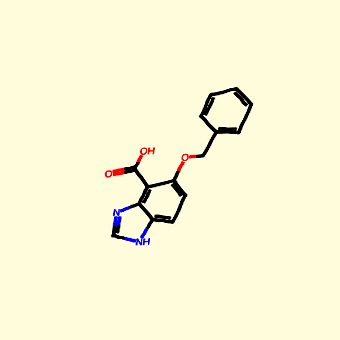 O=C(O)c1c(OCc2ccccc2)ccc2[nH]cnc12